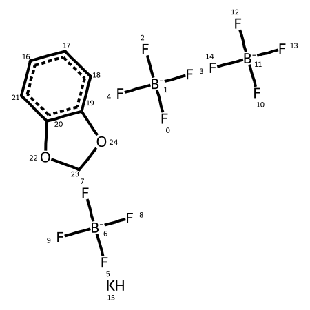 F[B-](F)(F)F.F[B-](F)(F)F.F[B-](F)(F)F.[KH].c1ccc2c(c1)OCO2